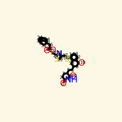 O=C1CCC(CCC2CC(=O)c3cccc(SCc4csc(COC(=O)CC56CC7CC(C5)C(C7)C6)n4)c3C2)C(=O)N1